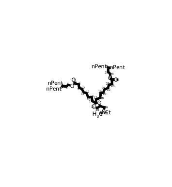 CCCCCC(CCCCC)CCOC(=O)CCCCCCCCC1(CCCCCCCCC(=O)OCCC(CCCCC)CCCCC)OCC(CN(C)CC)O1